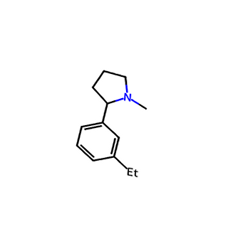 CCc1cccc(C2CCCN2C)c1